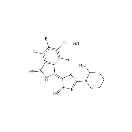 CC1CCCCN1C1=NC(=N)C(=C2NC(=N)c3c(F)c(F)c(Cl)c(F)c32)S1.Cl